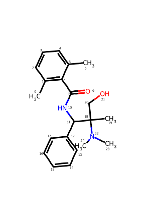 Cc1cccc(C)c1C(=O)NC(c1ccccc1)C(C)(CO)N(C)C